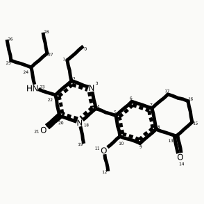 CCc1nc(-c2cc3c(cc2OC)C(=O)CCC3)n(C)c(=O)c1NC(CC)CC